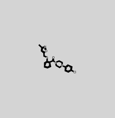 Cc1cc(CSc2ccccc2C(=O)N2CCN(c3ccc(Cl)cc3)CC2)on1